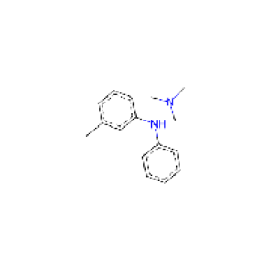 CN(C)C.Cc1cccc(Nc2ccccc2)c1